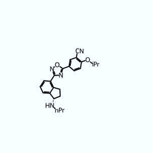 CCCN[C@H]1CCc2c(-c3noc(-c4ccc(OC(C)C)c(C#N)c4)n3)cccc21